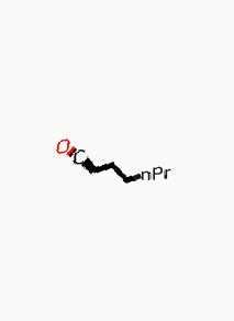 [CH2]CCCCC=C=O